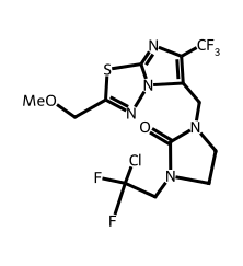 COCc1nn2c(CN3CCN(CC(F)(F)Cl)C3=O)c(C(F)(F)F)nc2s1